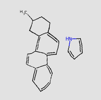 CC1CCc2ccc3c(ccc4ccccc43)c2C1.c1cc[nH]c1